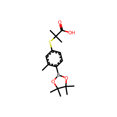 Cc1cc(SC(C)(C)C(=O)O)ccc1B1OC(C)(C)C(C)(C)O1